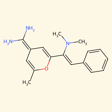 CC1=CC(=C(N)N)C=C(C(=Cc2ccccc2)N(C)C)O1